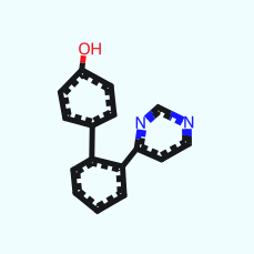 Oc1ccc(-c2ccccc2-c2ccncn2)cc1